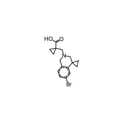 O=C(O)C1(CN2Cc3ccc(Br)cc3C3(CC3)C2)CC1